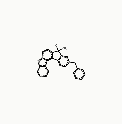 CC1(C)c2cc(Cc3ccccc3)ccc2-c2c1ccc1oc3ccccc3c21